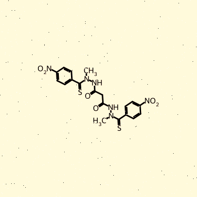 CN(NC(=O)CC(=O)NN(C)C(=S)c1ccc([N+](=O)[O-])cc1)C(=S)c1ccc([N+](=O)[O-])cc1